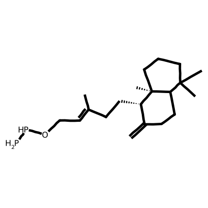 C=C1CCC2C(C)(C)CCC[C@]2(C)[C@H]1CC/C(C)=C/COPP